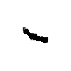 CC(=O)N(C)C1CCN(c2ccc(NC(=O)c3ccc(C#Cc4ccc(F)cc4)o3)cc2)C1